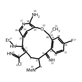 CCN/C1=C(\C(=N)Cl)CC(CNC)C(=N)c2ccc(F)cc2[C@@H](C)Oc2cc1cnc2N